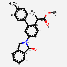 Cc1ccc(-c2cc(N3Cc4ccccc4C3O)ccc2C(C)C(=O)OC(C)(C)C)cc1